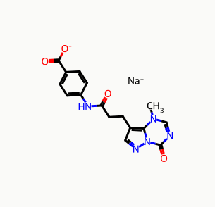 Cn1cnc(=O)n2ncc(CCC(=O)Nc3ccc(C(=O)[O-])cc3)c12.[Na+]